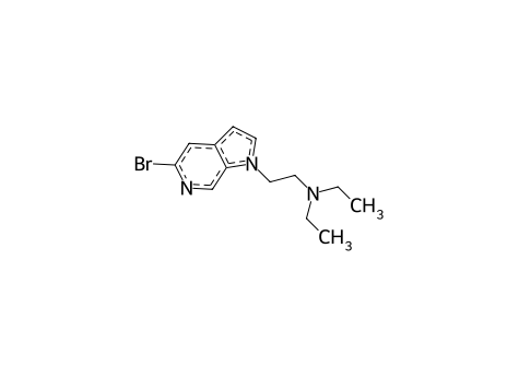 CCN(CC)CCn1ccc2cc(Br)ncc21